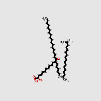 CCCCCCCCCCCCCCCC(C)C.CCCCCCCCCCCCCCCCCC(=O)C(CCCCCC)CCCCCCCCCC(O)C(=O)O